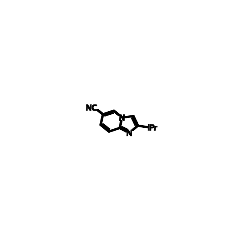 CC(C)c1cn2cc(C#N)ccc2n1